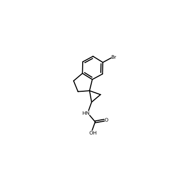 O=C(O)NC1CC12CCc1ccc(Br)cc12